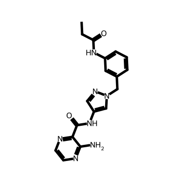 CCC(=O)Nc1cccc(Cn2cc(NC(=O)c3nccnc3N)cn2)c1